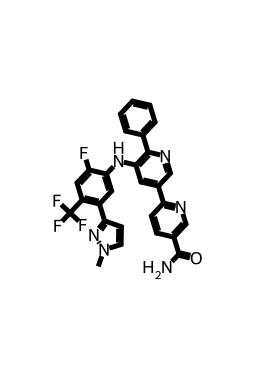 Cn1ccc(-c2cc(Nc3cc(-c4ccc(C(N)=O)cn4)cnc3-c3ccccc3)c(F)cc2C(F)(F)F)n1